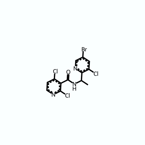 CC(NC(=O)c1c(Cl)ccnc1Cl)c1ncc(Br)cc1Cl